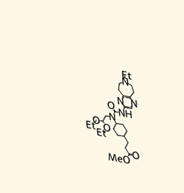 CCOC(CN(C(=O)Nc1cnc2c(n1)CCN(CC)CC2)C1CCC(CCC(=O)OC)CC1)OCC